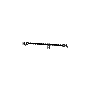 CCCCCCCCCCCCCCCCCCCCNCCCCCCCCCCCCCC